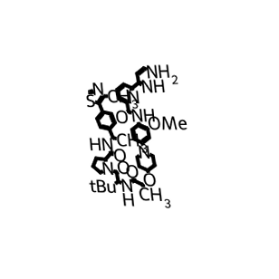 COc1cc(N2CCC(OC(C)C(=O)NC(C(=O)N3CCCC3C(=O)NC(C)c3ccc(-c4scnc4C)cc3)C(C)(C)C)CC2)ccc1NC(=O)c1cccc(C(=N)/C=C\N)n1